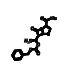 CC(OC(=O)OCc1ccccc1)C1C(=O)N2C(C(=O)C(C)(C)C)CSC12